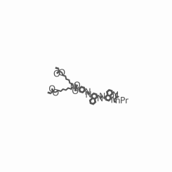 C=CC(=O)OCCCCCCN(CCCCCCOC(=O)C=C)S(=O)(=O)c1ccc(/N=N/c2ccc(/N=N/c3ccc4c5c(cccc35)N(C)C(C)(CCC)N4C)c3ccccc23)cc1